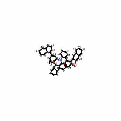 CC12c3ccccc3-c3cccc(c31)N(c1ccccc1-c1cccc3oc4cc5ccccc5cc4c13)c1cc(-c3cccc4ccccc34)ccc12